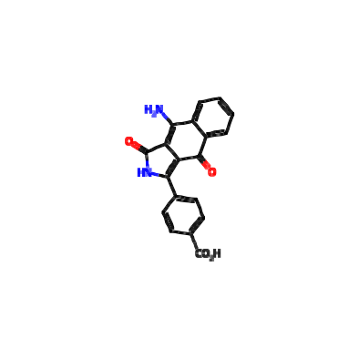 NC1=C2C(=O)NC(c3ccc(C(=O)O)cc3)=C2C(=O)c2ccccc21